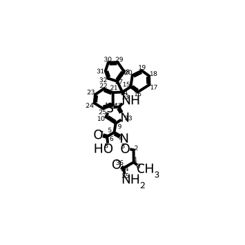 CC(CON=C(C(=O)O)c1csc(NC(c2ccccc2)(c2ccccc2)c2ccccc2)n1)C(N)=O